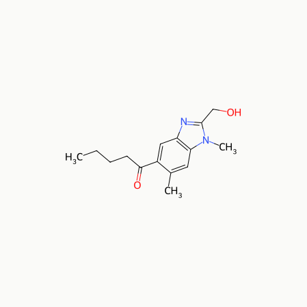 CCCCC(=O)c1cc2nc(CO)n(C)c2cc1C